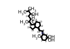 C=C1CCC(O)(O)C/C1=C/C=C1CCC[C@@]2(C)C1CC[C@@H]2[C@H](C)CC[C@@H](O)C(C)C